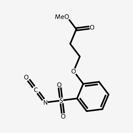 COC(=O)CCOc1ccccc1S(=O)(=O)N=C=O